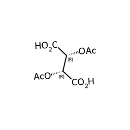 CC(=O)O[C@@H](C(=O)O)[C@@H](OC(C)=O)C(=O)O